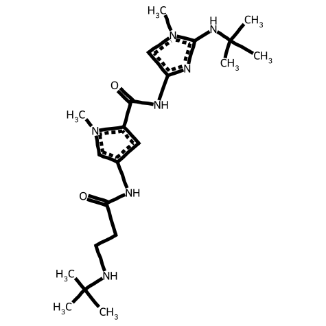 Cn1cc(NC(=O)CCNC(C)(C)C)cc1C(=O)Nc1cn(C)c(NC(C)(C)C)n1